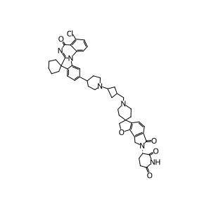 O=C1CC[C@H](N2Cc3c(ccc4c3OCC43CCN(CC4CC(N5CCC(c6ccc7c(c6)-n6c(nc(=O)c8c(Cl)cccc86)C76CCCCC6)CC5)C4)CC3)C2=O)C(=O)N1